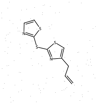 C=CCc1csc(Sc2nccs2)n1